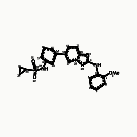 COc1ccccc1Nc1nc2ccc(-c3cccc(NS(=O)(=O)C4CC4)c3)cn2n1